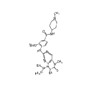 CCC1C(=O)N(C)c2cnc(Nc3ccc(C(=O)NC4CCN(C)CC4)cc3OC)nc2N1N(C)CC